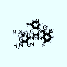 C[C@H](Nc1nc(N)nc(N)c1C#N)c1nc2c(F)ccc(Br)c2c(=O)n1-c1cncc(F)c1